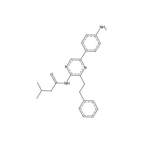 CC(C)CC(=O)Nc1ncc(-c2ccc(N)cc2)nc1CCc1ccccc1